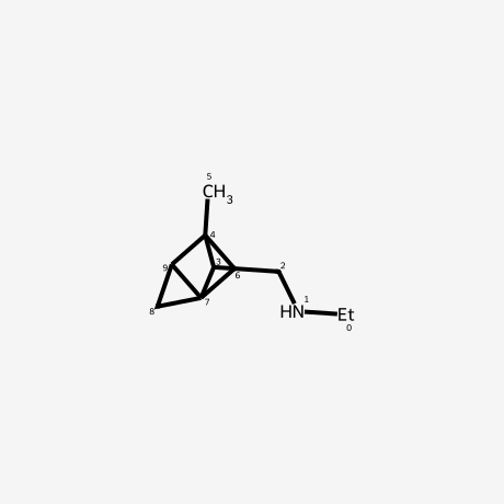 CCNCC1C2(C)CC13CC23